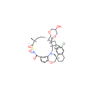 C[C@@H]1C[C@@H]2[C@@H]1CN1C[C@@]3(CCCc4cc(Cl)ccc43)COc3ccc(cc31)C(=O)NS(=O)(=O)[C@H](C)[C@@H](C)CCC[C@@H]2[C@H]1OC[C@H](O)CO1